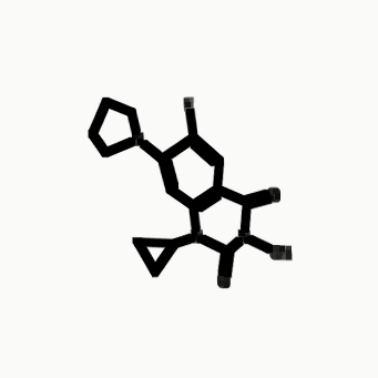 O=c1c2cc(F)c(N3CCCC3)cc2n(C2CC2)c(=O)n1O